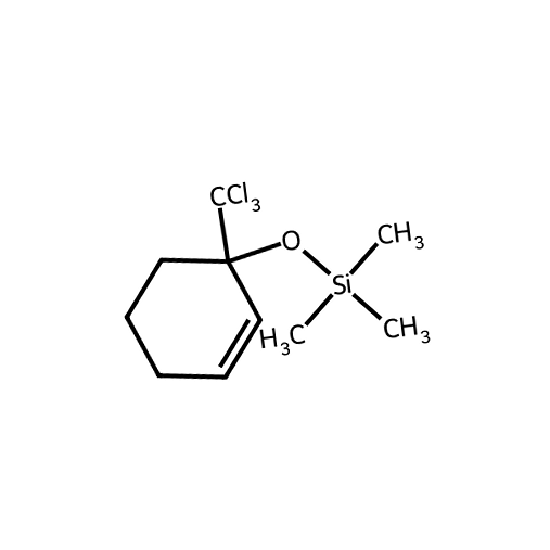 C[Si](C)(C)OC1(C(Cl)(Cl)Cl)C=CCCC1